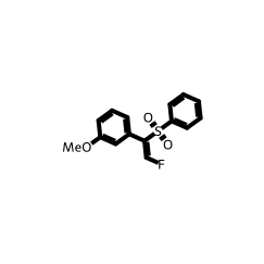 COc1cccc(C(=CF)S(=O)(=O)c2ccccc2)c1